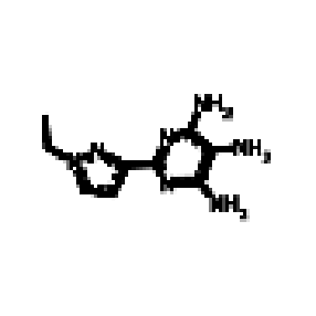 CCn1ccc(-c2nc(N)c(N)c(N)n2)n1